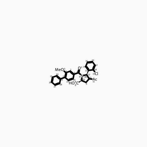 COc1cc(C(=O)N2[C@H](C(=O)O)CC(C(C)=O)[C@@H]2c2ccccc2Cl)ccc1-c1ccccc1